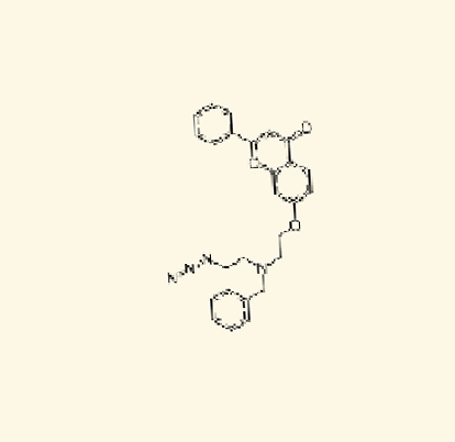 [N-]=[N+]=NCCN(CCOc1ccc2c(=O)cc(-c3ccccc3)oc2c1)Cc1ccccc1